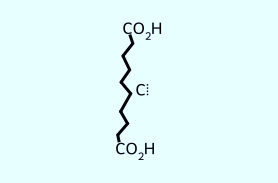 O=C(O)CCCCCCCCC(=O)O.[C]